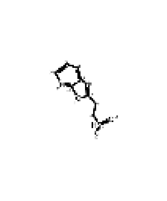 O=[SH](=O)CCc1nc2cccnc2o1